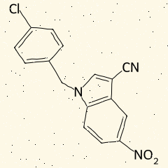 N#Cc1cn(Cc2ccc(Cl)cc2)c2ccc([N+](=O)[O-])cc12